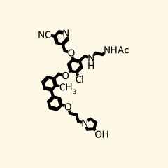 CC(=O)NCCNCc1cc(Cl)c(OCc2cccc(-c3cccc(OCCCN4CCC(O)C4)c3)c2C)cc1OCc1cncc(C#N)c1